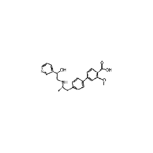 COc1cc(-c2ccc(C[C@@H](C)NC[C@H](O)c3cccnc3)cc2)ccc1C(=O)O